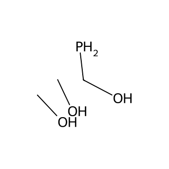 CO.CO.OCP